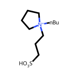 CCCC[N+]1(CCCS(=O)(=O)O)CCCC1